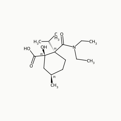 CCN(CC)C(=O)[C@@]1(C(C)C)CC[C@@H](C)C[C@]1(O)C(=O)O